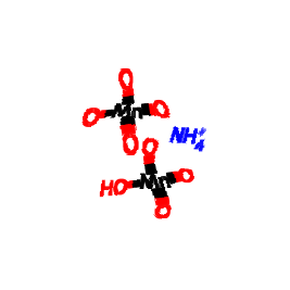 [NH4+].[O]=[Mn](=[O])(=[O])[O-].[O]=[Mn](=[O])(=[O])[OH]